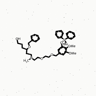 COc1cc(COCCOCCN(C)CCC(CCCO)OCc2ccccc2)cc(O[Si](c2ccccc2)(c2ccccc2)C(C)(C)C)c1OC